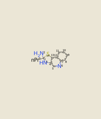 CCCC1(N)Nc2cnc3ccccc3c2S1